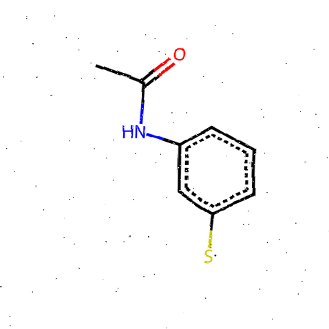 CC(=O)Nc1cccc([S])c1